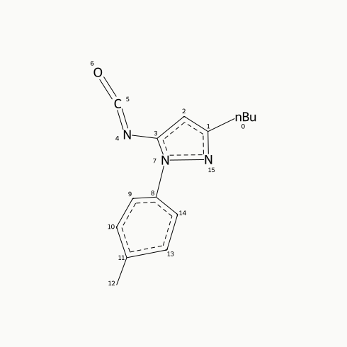 CCCCc1cc(N=C=O)n(-c2ccc(C)cc2)n1